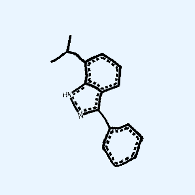 CC(C)c1cccc2c(-c3ccccc3)n[nH]c12